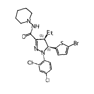 CC[C@@H]1C(C(=O)NN2CCCCC2)=NN(c2ccc(Cl)cc2Cl)[C@@H]1c1ccc(Br)s1